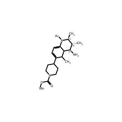 CC(=O)N1C2=CC=C(C3CCN(C(=O)OC(C)(C)C)CC3)C(C)C2[C@H](N)[C@@H](C)[C@@H]1C